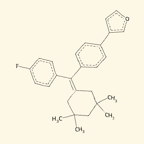 CC1(C)CC(=C(c2ccc(F)cc2)c2ccc(-c3ccoc3)cc2)CC(C)(C)C1